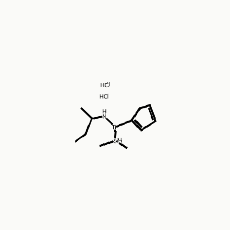 CCC(C)[NH][Ti]([C]1=CC=CC1)[SiH](C)C.Cl.Cl